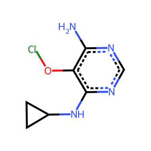 Nc1ncnc(NC2CC2)c1OCl